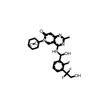 Cc1nc(NC(O)c2cccc(C(F)(F)CO)c2F)c2cn(C34CCC(CC3)CC4)c(=O)cc2n1